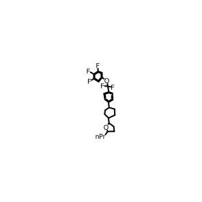 CCCC1CCC(C2CCC(c3ccc(C(F)(F)Oc4cc(F)c(F)c(F)c4)cc3)CC2)O1